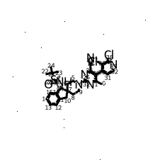 Cc1nc(N2CCC3(CC2)Cc2ccccc2[C@H]3N[S@+]([O-])C(C)(C)C)nc(C#N)c1-c1ccnc(Cl)c1Cl